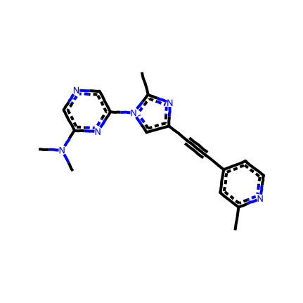 Cc1cc(C#Cc2cn(-c3cncc(N(C)C)n3)c(C)n2)ccn1